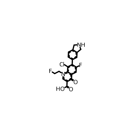 O=C(O)c1cn(CCF)c2c(Cl)c(-c3ccc4c(c3)CNC4)c(F)cc2c1=O